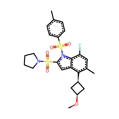 CO[C@H]1C[C@@H](c2c(C)cc(F)c3c2cc(S(=O)(=O)N2CCCC2)n3S(=O)(=O)c2ccc(C)cc2)C1